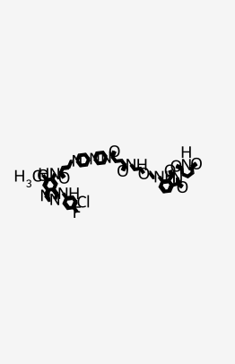 COc1cc2ncnc(Nc3ccc(F)c(Cl)c3)c2cc1NC(=O)/C=C/CN1CCC(N2CCN(C(=O)CCC(=O)NCCOCCNc3cccc4c3C(=O)N(C3CCC(=O)NC3=O)C4=O)CC2)CC1